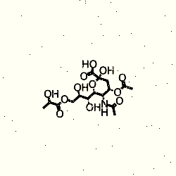 CC(=O)N[C@H]1[C@H]([C@H](O)[C@H](O)COC(=O)C(C)O)O[C@](O)(C(=O)O)C[C@@H]1OC(C)=O